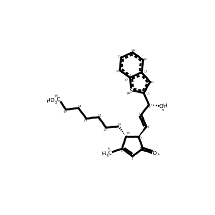 CC1=CC(=O)[C@H](/C=C/[C@@H](O)c2cc3ccccc3s2)[C@H]1CCCCCCC(=O)O